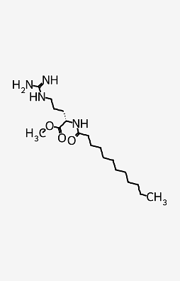 CCCCCCCCCCCC(=O)N[C@@H](CCCNC(=N)N)C(=O)OC